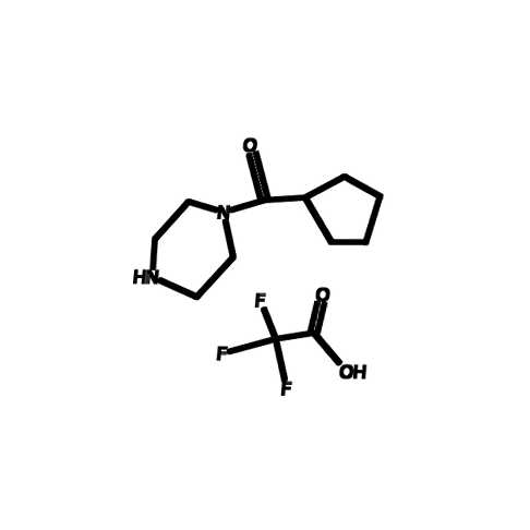 O=C(C1CCCC1)N1CCNCC1.O=C(O)C(F)(F)F